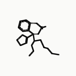 CCCCCC(CCC)C1(C2=CCCC2)CN(C)Cc2ccccc21